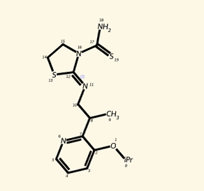 CC(C)Oc1cccnc1C(C)C/N=C1\SCCN1C(N)=S